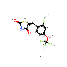 O=C1NC(=O)/C(=C\c2ccc(OC(F)(F)F)cc2F)S1